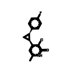 Cc1cc([C@H]2C[C@@H]2c2ccc(F)cc2)c(Cl)c(=O)[nH]1